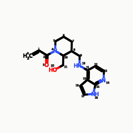 C=CC(=O)N1CCCC(CNc2ccnc3[nH]ccc23)C1CO